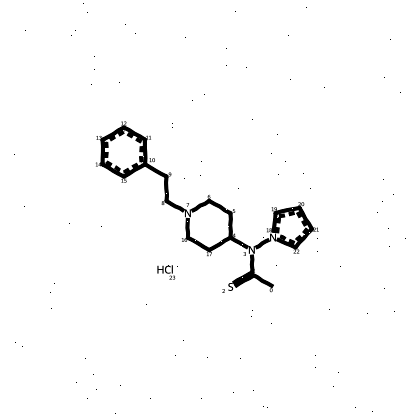 CC(=S)N(C1CCN(CCc2ccccc2)CC1)n1cccc1.Cl